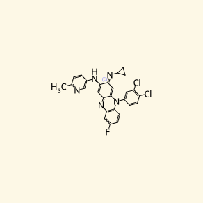 Cc1ccc(Nc2cc3nc4cc(F)ccc4n(-c4ccc(Cl)c(Cl)c4)c-3c/c2=N\C2CC2)cn1